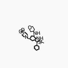 C[Si](C)(C)c1[nH]c2c(NC3CCOCC3)cc(CN3C=CS(=O)(=O)C=C3)cc2c1-c1ccccc1